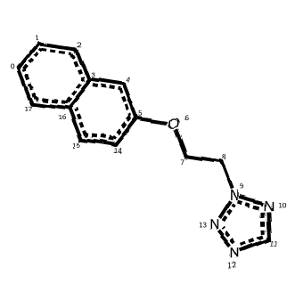 [c]1ccc2cc(OCCn3ncnn3)ccc2c1